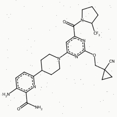 N#CC1(COc2nc(C(=O)N3CCCC3C(F)(F)F)cc(N3CCC(c4ccc(N)c(C(N)=O)n4)CC3)n2)CC1